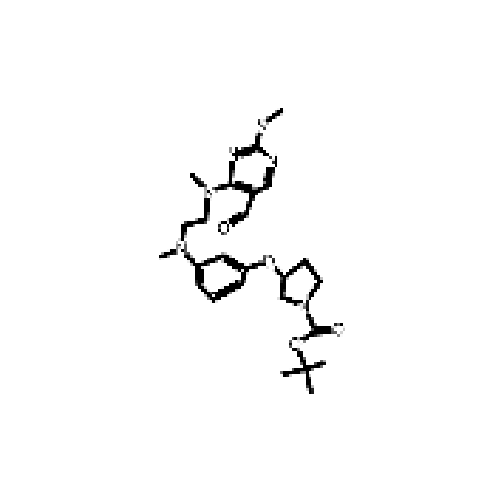 CSc1ncc(C=O)c(N(C)CCN(C)c2cccc(OC3CCN(C(=O)OC(C)(C)C)C3)c2)n1